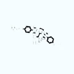 COc1ccc(S(=O)(=O)N2CCN(S(=O)(=O)c3ccc(C)cc3)C2C(=O)NO)cc1